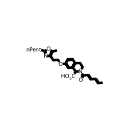 CC=CC=CC(=O)N1CCc2ccc(OCCc3nc(CCCCC)oc3C)cc2C1C(=O)O